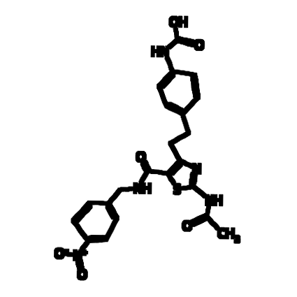 CC(=O)Nc1nc(CCc2ccc(NC(=O)O)cc2)c(C(=O)NCc2ccc([N+](=O)[O-])cc2)s1